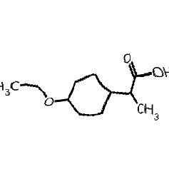 CCOC1CCC(C(C)C(=O)O)CC1